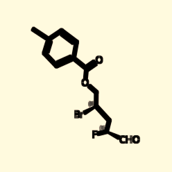 Cc1ccc(C(=O)OC[C@H](Br)C[C@H](F)C=O)cc1